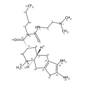 CN(C)CCNC(=O)N(CCCC(F)(F)F)C(=O)[C@@H]1C[C@@H]2Cc3c(sc(N)c3N)C[C@H]2N(C)C1